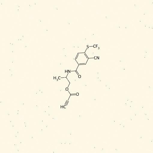 C#CC(=O)OCC(C)NC(=O)c1ccc(SC(F)(F)F)c(C#N)c1